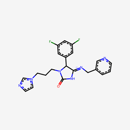 O=C1N/C(=N\Cc2cccnc2)C(c2cc(F)cc(F)c2)N1CCCn1ccnc1